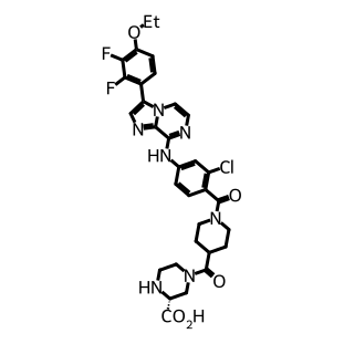 CCOc1ccc(-c2cnc3c(Nc4ccc(C(=O)N5CCC(C(=O)N6CCN[C@@H](C(=O)O)C6)CC5)c(Cl)c4)nccn23)c(F)c1F